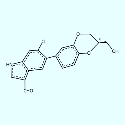 O=Cc1c[nH]c2cc(Cl)c(-c3ccc4c(c3)OC[C@@H](CO)O4)cc12